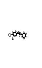 CCCCC1(CCc2ccc(Cl)c(F)c2)CCCCC1